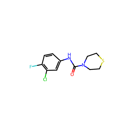 O=C(Nc1ccc(F)c(Cl)c1)N1CCSCC1